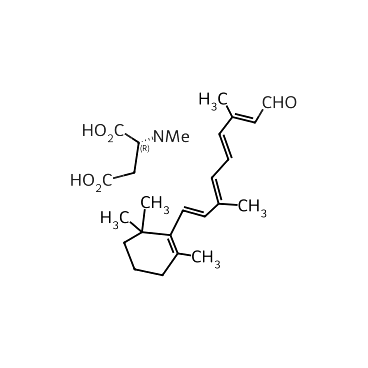 CC(C=CC=C(C)C=CC1=C(C)CCCC1(C)C)=CC=O.CN[C@H](CC(=O)O)C(=O)O